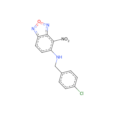 O=[N+]([O-])c1c(NCc2ccc(Cl)cc2)ccc2nonc12